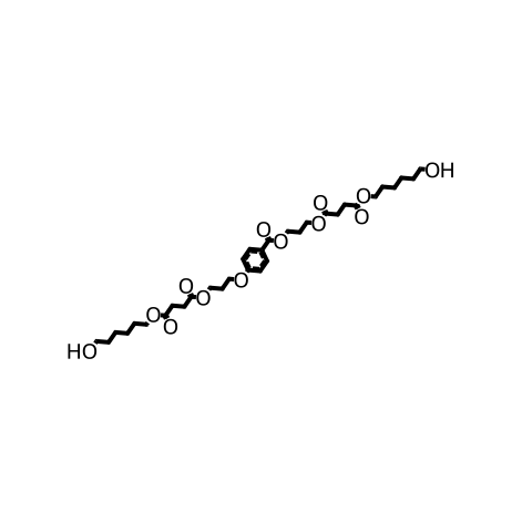 O=C(CCC(=O)OCCCOC(=O)c1ccc(OCCCOC(=O)CCC(=O)OCCCCCCO)cc1)OCCCCCCO